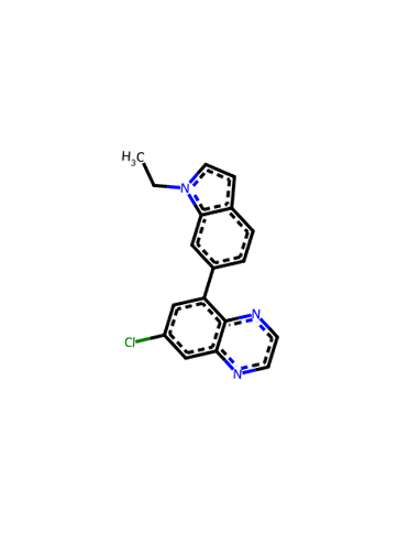 CCn1ccc2ccc(-c3cc(Cl)cc4nccnc34)cc21